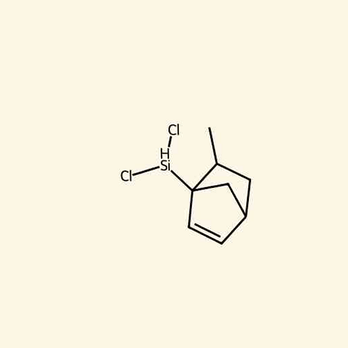 CC1CC2C=CC1([SiH](Cl)Cl)C2